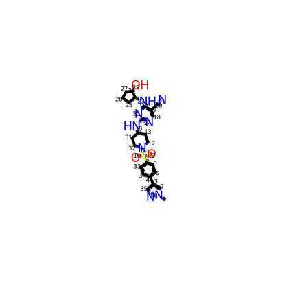 Cn1cc(-c2ccc(S(=O)(=O)N3CCC(Nc4ncc(C#N)c(N[C@@H]5CCC[C@H]5O)n4)CC3)cc2)cn1